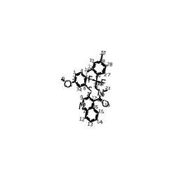 COc1cccc(Sc2cnc3ccccc3c2C(=O)N(C)CC(F)(F)c2ccc(C)cc2C)c1